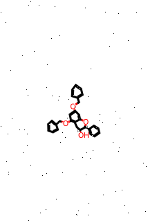 O[C@H]1Cc2c(OCc3ccccc3)cc(OCc3ccccc3)cc2O[C@H]1c1ccccc1